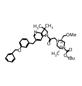 COC[C@H]1CN(C(=O)OC(C)(C)C)[C@H](C)CN1CC(=O)N1CC(C)(C)c2ncc(Cc3cccc(OCc4ccccc4)c3)cc21